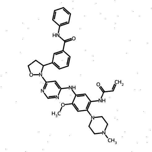 C=CC(=O)Nc1cc(Nc2cc(N3OCCC3c3cccc(C(=O)Nc4ccccc4)c3)ncn2)c(OC)cc1N1CCN(C)CC1